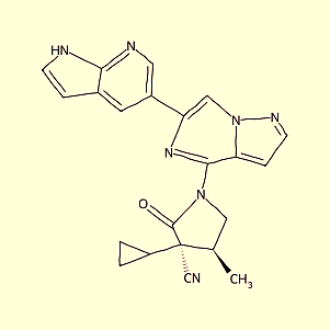 C[C@@H]1CN(c2nc(-c3cnc4[nH]ccc4c3)cn3nccc23)C(=O)[C@]1(C#N)C1CC1